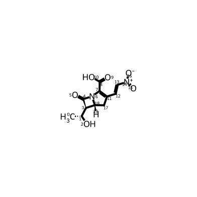 C[C@@H](O)[C@H]1C(=O)N2C(C(=O)O)=C(/C=C/[N+](=O)[O-])C[C@H]12